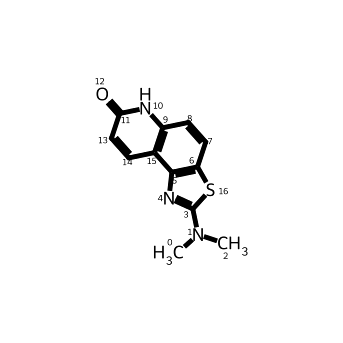 CN(C)c1nc2c(ccc3[nH]c(=O)ccc32)s1